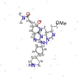 COCCc1ncncc1Cn1c(=O)c(C#CC(=O)N(C)C)cc2cnc(Nc3ccc(C4CCNCC4)cc3)nc21